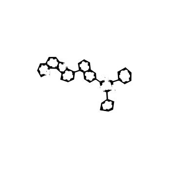 c1ccc(-c2nc(-c3ccccc3)nc(-c3ccc4c(-c5cccc6c5oc5ccc7cccnc7c56)cccc4c3)n2)cc1